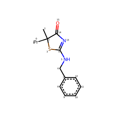 CC(C)C1(C)SC(NCc2ccccc2)=NC1=O